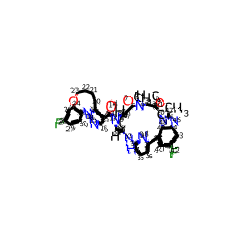 CO[C@H]1CN(C)C(=O)[C@@H]2C[C@@H](CN2C(=O)c2cnn3c2CCCCOc2cc(F)ccc2-3)Nc2cccc(n2)-c2cc(F)cc3nc(C)n(c23)C1